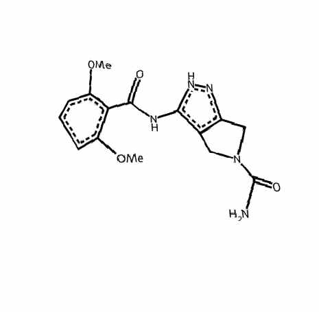 COc1cccc(OC)c1C(=O)Nc1[nH]nc2c1CN(C(N)=O)C2